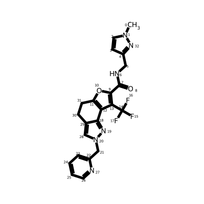 Cn1ccc(CNC(=O)c2oc3c(c2C(F)(F)F)-c2nn(Cc4ccccn4)cc2CC3)n1